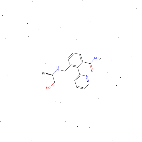 CC(C)[C@H](CO)NCc1cccc(C(N)=O)c1-c1ccccn1